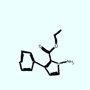 CCOC(=O)c1c(-c2ccccc2)ccn1N